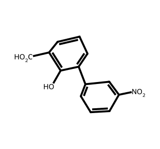 O=C(O)c1cccc(-c2cccc([N+](=O)[O-])c2)c1O